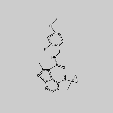 COc1ccc(CNC(=O)c2c(C)oc3ncnc(NC4(C)CC4)c23)c(F)c1